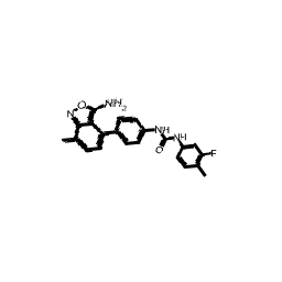 Cc1ccc(NC(=O)Nc2ccc(-c3ccc(C)c4noc(N)c34)cc2)cc1F